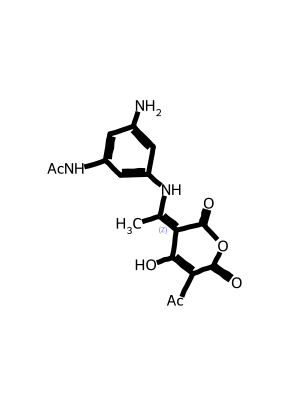 CC(=O)Nc1cc(N)cc(N/C(C)=C2\C(=O)OC(=O)C(C(C)=O)=C2O)c1